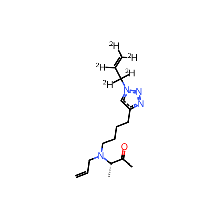 [2H]C([2H])=C([2H])C([2H])([2H])n1cc(CCCCN(CC=C)[C@@H](C)C(C)=O)nn1